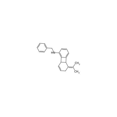 CC(C)=C1CC=CC2c3c(NCc4ccccc4)cccc3C12